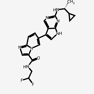 C[C@@H](Nc1ncc2c(-c3ccc4ncc(C(=O)NCC(F)F)n4c3)c[nH]c2n1)C1CC1